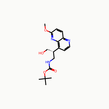 COc1ccc2nccc([C@@H](CO)CNC(=O)OC(C)(C)C)c2n1